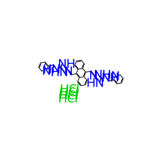 Cl.Cl.Cl.Cl.N=C(NCc1ccccn1)NN=Cc1c2ccccc2c(C=NNC(=N)NCc2ccccn2)c2ccccc12